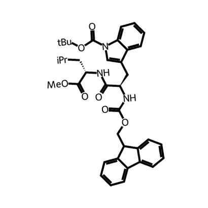 COC(=O)[C@H](CC(C)C)NC(=O)[C@@H](Cc1cn(C(=O)OC(C)(C)C)c2ccccc12)NC(=O)OCC1c2ccccc2-c2ccccc21